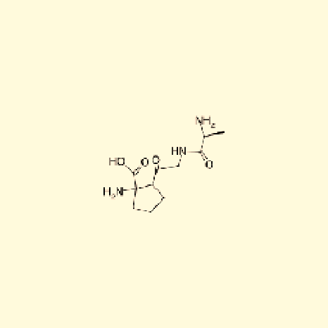 C[C@H](N)C(=O)NCC(=O)C1CCCC1(N)C(=O)O